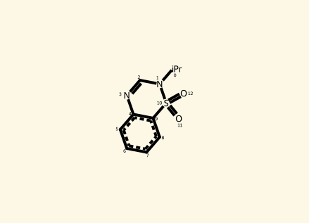 CC(C)N1C=Nc2ccccc2S1(=O)=O